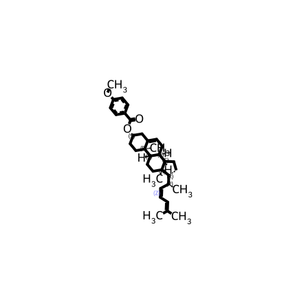 COc1ccc(C(=O)O[C@H]2CC[C@@]3(C)C(=CC[C@H]4[C@@H]5CC[C@H]([C@H](C)/C=C\C=C(C)C)[C@@]5(C)CC[C@@H]43)C2)cc1